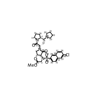 COC(=O)CN([C@H]1CCN([C@@H](C)C(=O)N2CCC[C@H]2CN2CCCC2)C1=O)S(=O)(=O)c1ccc2cc(Cl)ccc2c1